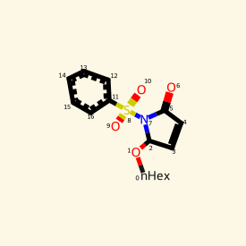 CCCCCCOC1C=CC(=O)N1S(=O)(=O)c1ccccc1